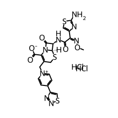 CO/N=C(\C(=O)N[C@@H]1C(=O)N2C(C(=O)[O-])=C(C[n+]3ccc(-c4csnn4)cc3)CS[C@H]12)c1csc(N)n1.Cl.Cl